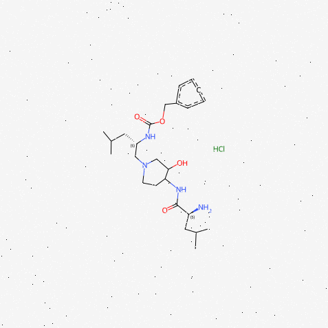 CC(C)C[C@@H](CN1CCC(NC(=O)[C@@H](N)CC(C)C)C(O)C1)NC(=O)OCc1ccccc1.Cl